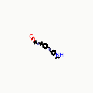 CC(C)Nc1ccc(/C=C/c2ccc(C(C)(C)/C=C/C(C)(C)COC=O)cc2)cc1